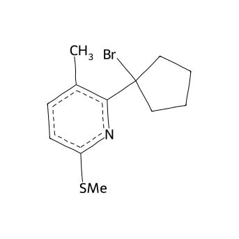 CSc1ccc(C)c(C2(Br)CCCC2)n1